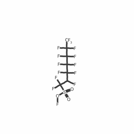 O=S(=O)(OF)C(F)(F)C(F)C(F)(F)C(F)(F)C(F)(F)C(F)(F)C(F)(F)F